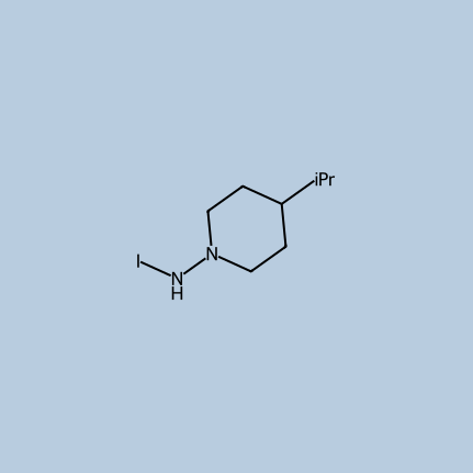 CC(C)C1CCN(NI)CC1